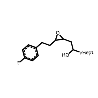 CCCCCCCC(O)CC1OC1CCc1ccc(F)cc1